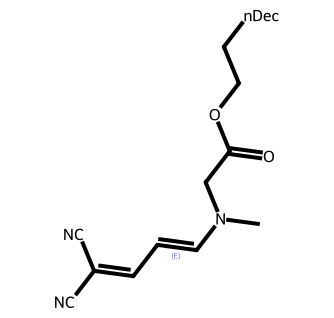 CCCCCCCCCCCCOC(=O)CN(C)/C=C/C=C(C#N)C#N